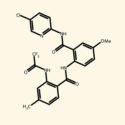 COc1ccc(NC(=O)c2ccc(C)cc2NC(=O)C(F)(F)F)c(C(=O)Nc2ccc(Cl)cn2)c1